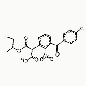 CCC(C)OC(=O)C(C(=O)O)c1cccc(C(=O)c2ccc(Cl)cc2)c1[N+](=O)[O-]